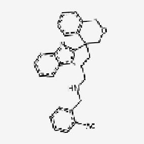 CC(=O)c1ccccc1CNCCCC1(c2nc3ccccc3s2)COCc2ccccc21